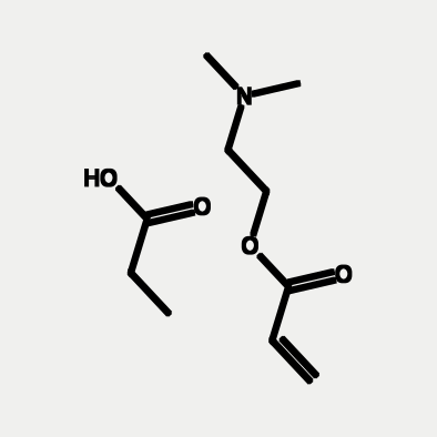 C=CC(=O)OCCN(C)C.CCC(=O)O